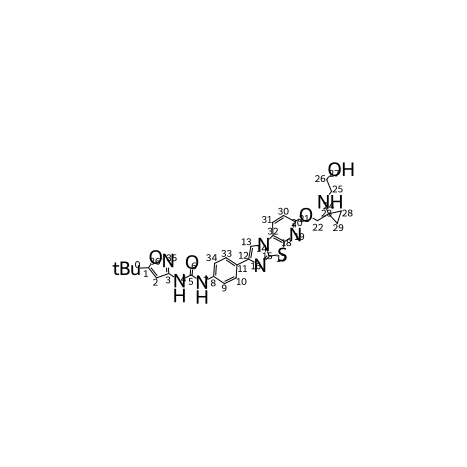 CC(C)(C)c1cc(NC(=O)Nc2ccc(-c3cn4c(n3)sc3nc(OCC5(NCCO)CC5)ccc34)cc2)no1